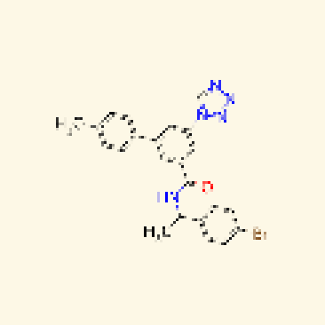 Cc1ccc(-c2cc(C(=O)NC(C)c3ccc(Br)cc3)cc(-n3cnnn3)c2)cc1